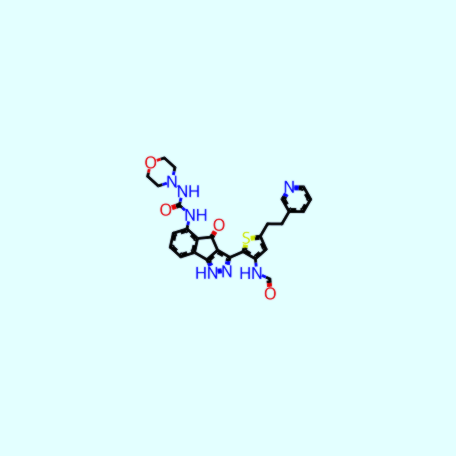 O=CNc1cc(CCc2cccnc2)sc1-c1n[nH]c2c1C(=O)c1c(NC(=O)NN3CCOCC3)cccc1-2